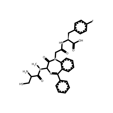 CN(C(=O)C(N)CS)C1N=C(c2ccccc2)c2ccccc2N(CC(=O)N[C@@H](Cc2ccc(F)cc2)C(=O)O)C1=O